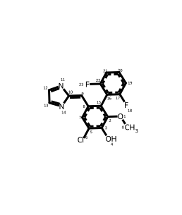 COc1c(O)c(Cl)cc(C=C2N=CC=N2)c1-c1c(F)cccc1F